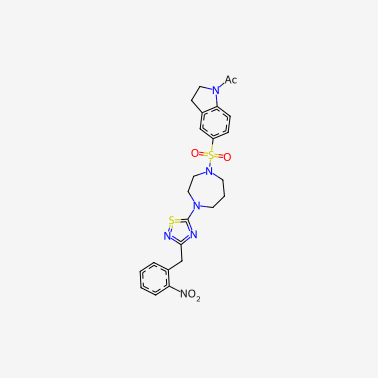 CC(=O)N1CCc2cc(S(=O)(=O)N3CCCN(c4nc(Cc5ccccc5[N+](=O)[O-])ns4)CC3)ccc21